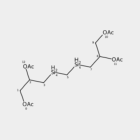 CC(=O)OCC(C[SiH2]C[SiH2]CC(COC(C)=O)OC(C)=O)OC(C)=O